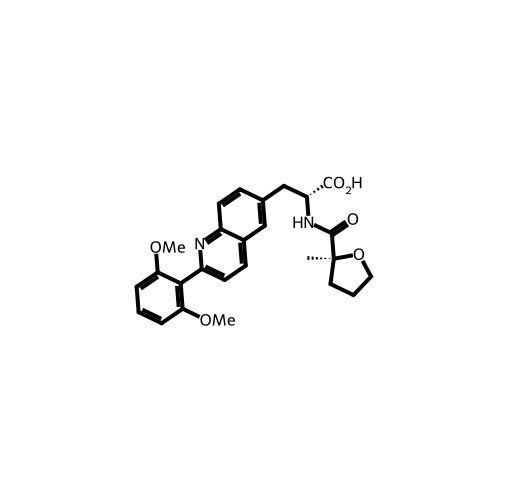 COc1cccc(OC)c1-c1ccc2cc(C[C@@H](NC(=O)[C@]3(C)CCCO3)C(=O)O)ccc2n1